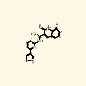 C[C@H](Nc1nccc(-c2cnsc2)n1)c1cc2cccc(Cl)c2[nH]c1=O